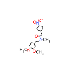 COc1ccc(CCN(C)C(=O)Cc2ccc([N+](=O)[O-])cc2)cc1OC